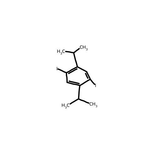 CC(C)c1cc(I)c(C(C)C)cc1I